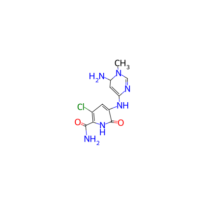 CN1C=NC(Nc2cc(Cl)c(C(N)=O)[nH]c2=O)=CC1N